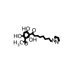 CC(=O)c1c(O)cc(O)c(C(=O)CCCCCCCn2cccn2)c1O